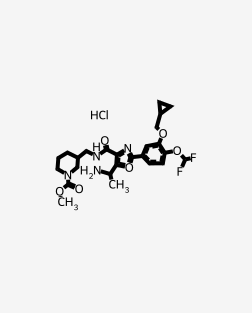 COC(=O)N1CCCC(CNC(=O)c2nc(-c3ccc(OC(F)F)c(OCC4CC4)c3)oc2C(C)N)C1.Cl